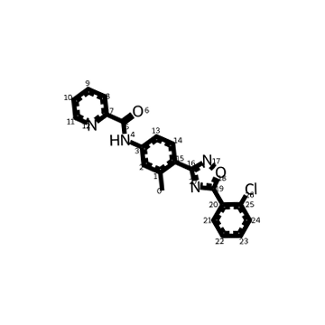 Cc1cc(NC(=O)c2ccccn2)ccc1-c1noc(-c2ccccc2Cl)n1